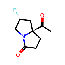 CC(=O)[C@@]12CCC(=O)N1C[C@H](F)C2